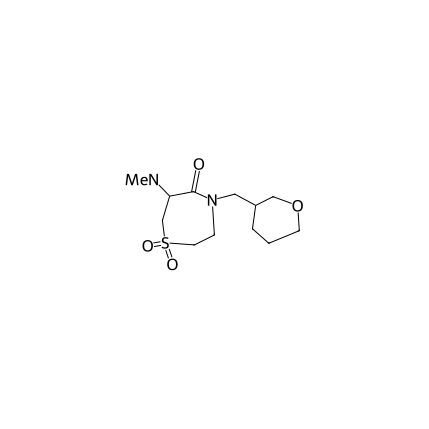 CNC1CS(=O)(=O)CCN(CC2CCCOC2)C1=O